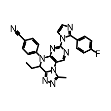 CCC1c2nnc(C)n2-c2cnc(-n3ccnc3-c3ccc(F)cc3)nc2N1c1ccc(C#N)cc1